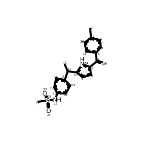 Cc1ccc(C(=S)c2ccc(C(C)c3ccc(NS(C)(=O)=O)cc3)[nH]2)cc1